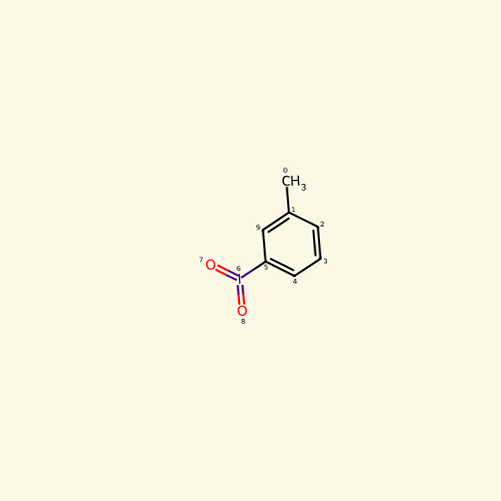 Cc1cccc(I(=O)=O)c1